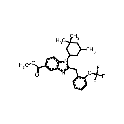 COC(=O)c1ccc2c(c1)nc(Cc1ccccc1OC(F)(F)F)n2C1CC(C)CC(C)(C)C1